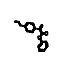 C=C(C(=O)Oc1ccccc1)[C@H]1CC[C@H](CCC)CC1